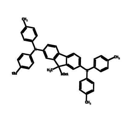 CCCCCCCCC1(C)c2cc(N(c3ccc(C)cc3)c3ccc(C)cc3)ccc2-c2ccc(N(c3ccc(C)cc3)c3ccc(C(C)(C)C)cc3)cc21